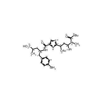 Bc1ccc(C[C@@H](CC(C)C(=O)O)NC(=O)c2csc(C(CC(C(C)C)N(C)C(=O)CCCC)OC(C)=O)n2)cc1